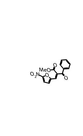 COC(=O)C(=Cc1ccc([N+](=O)[O-])o1)C(=O)c1ccccc1